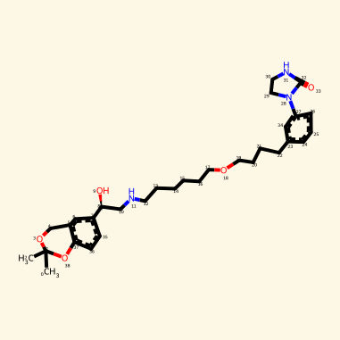 CC1(C)OCc2cc([C@@H](O)CNCCCCCCOCCCCc3cccc(N4CCNC4=O)c3)ccc2O1